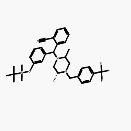 CC1CN(Cc2ccc(C(F)(F)F)cc2)[C@H](C)CN1C(c1cccc(O[Si](C)(C)C(C)(C)C)c1)c1ccccc1C#N